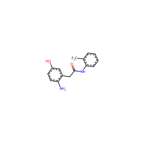 Nc1ccc(O)cc1CC(=O)Nc1ccccc1C(F)(F)F